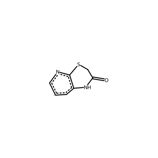 O=C1CSc2nc[c]cc2N1